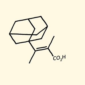 CC(C(=O)O)=C(C)C12CC3CC(CC(C3)C1)C2